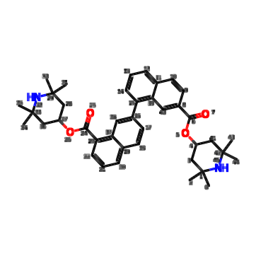 CC1(C)CC(OC(=O)c2ccc3cccc(-c4ccc5cccc(C(=O)OC6CC(C)(C)NC(C)(C)C6)c5c4)c3c2)CC(C)(C)N1